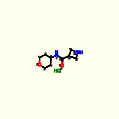 Cl.O=C(NC1CCOCC1)C1CNC1